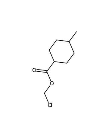 CC1CCC(C(=O)OCCl)CC1